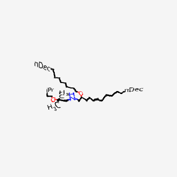 CCCCCCCCCCCCCCCCCCCC(CNCC(C)(C)OCCC(C)C)OCCCCCCCCCCCCCCCCCC